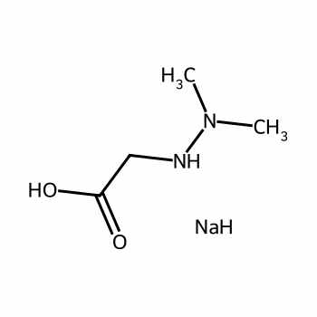 CN(C)NCC(=O)O.[NaH]